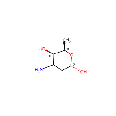 C[C@H]1O[C@H](O)CC(N)[C@H]1O